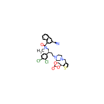 CN(C[C@@H](CCN1CCN(Cc2ccsc2[C@@H]2COC(=O)O2)CC1)c1ccc(Cl)c(Cl)c1)C(=O)c1cc(C#N)cc2ccccc12